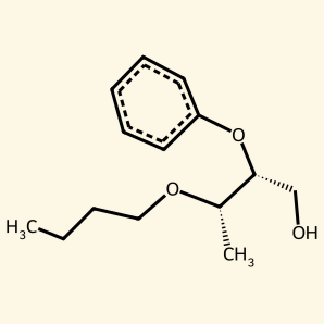 CCCCO[C@@H](C)[C@@H](CO)Oc1ccccc1